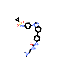 CN(C)CCNC(=O)Nc1ccc(-c2ccc3ncn(-c4ccc(NS(=O)(=O)C5CC5)cc4)c3c2)cc1